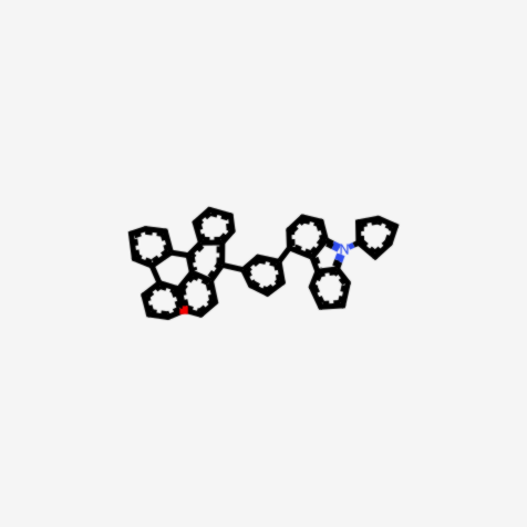 c1ccc(-c2ccccc2-c2c3ccccc3c(-c3cccc(-c4cccc5c4c4ccccc4n5-c4ccccc4)c3)c3ccccc23)cc1